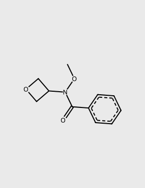 CON(C(=O)c1ccccc1)C1COC1